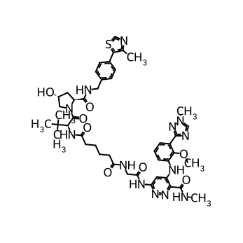 CNC(=O)c1nnc(NC(=O)CNC(=O)CCCCC(=O)N[C@H](C(=O)N2C[C@H](O)C[C@H]2C(=O)NCc2ccc(-c3scnc3C)cc2)C(C)(C)C)cc1Nc1cccc(-c2ncn(C)n2)c1OC